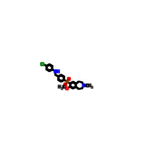 COc1cc2c(cc1S(=O)(=O)c1ccc(CNc3ccc(Cl)cc3)cc1)CCN(C)CC2